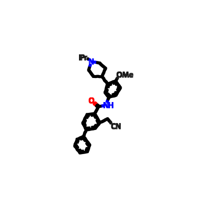 COc1ccc(NC(=O)c2ccc(-c3ccccc3)cc2CC#N)cc1C1CCN(C(C)C)CC1